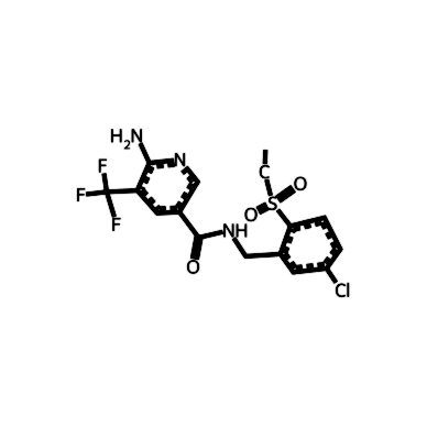 CCS(=O)(=O)c1ccc(Cl)cc1CNC(=O)c1cnc(N)c(C(F)(F)F)c1